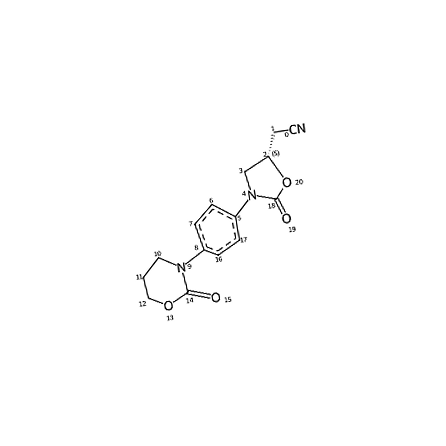 N#CC[C@H]1CN(c2ccc(N3CCCOC3=O)cc2)C(=O)O1